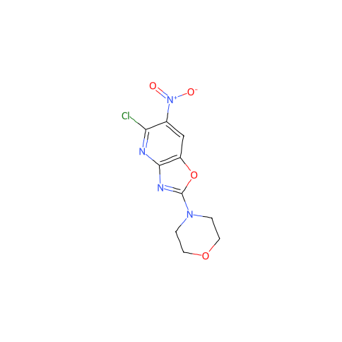 O=[N+]([O-])c1cc2oc(N3CCOCC3)nc2nc1Cl